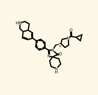 O=C(C1CC1)N1CC[C@@H](CN2C(=O)C3(CCNCC3)N=C2c2ccc(C3=CC4CCNCC4C=C3)cc2)C1